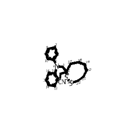 N#CCC1(CN(c2ccccc2)c2ccccc2)CCCCCCSS1